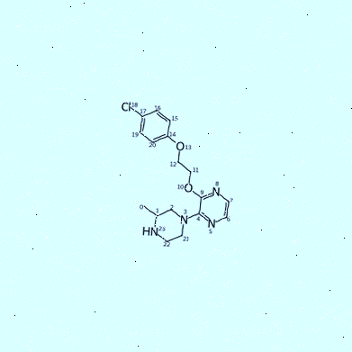 CC1CN(c2nccnc2OCCOc2ccc(Cl)cc2)CCN1